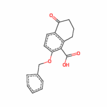 O=C1CCCc2c1ccc(OCc1ccccc1)c2C(=O)O